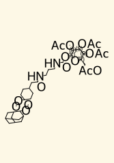 CC(=O)OC[C@H]1O[C@@H](OC(=O)NCCCNC(=O)CC2CCC3(CC2)OOC2(OO3)C3CC4CC(C3)CC2C4)[C@H](OC(C)=O)[C@@H](OC(C)=O)[C@@H]1OC(C)=O